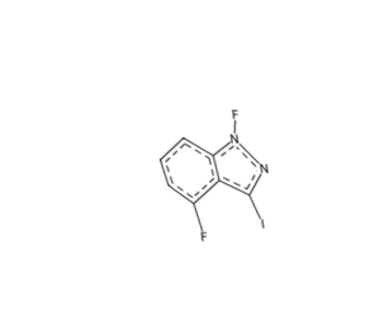 Fc1cccc2c1c(I)nn2F